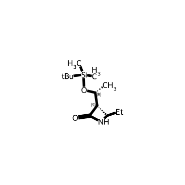 CCC1NC(=O)[C@@H]1[C@@H](C)O[Si](C)(C)C(C)(C)C